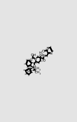 CC1(C(=O)NCc2nccnc2Cl)CCC(CO[Si](c2ccccc2)(c2ccccc2)C(C)(C)C)N(C(=O)O)C1